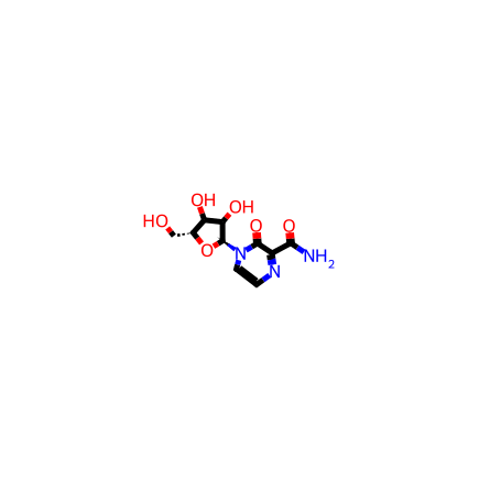 NC(=O)c1nccn([C@H]2O[C@H](CO)C(O)C2O)c1=O